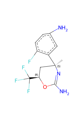 C[C@@]1(c2cc(N)ccc2F)C[C@H](C(F)(F)F)OC(N)=N1